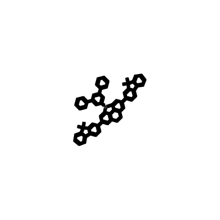 CC1(C)c2ccccc2-c2ccc(-c3cc4c5c6c(cc(-c7ccc8c(c7)C(C)(C)c7ccccc7-8)cc6n(-c6cc(-c7ccccc7)cc(-c7ccccc7)c6)c5c3)CC4)cc21